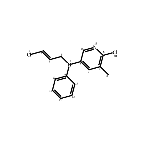 Cc1cc(N(C/C=C/Cl)c2ccccc2)cnc1Cl